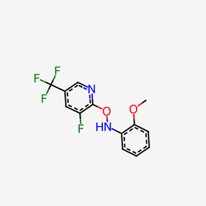 COc1ccccc1NOc1ncc(C(F)(F)F)cc1F